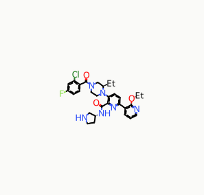 CCOc1ncccc1-c1ccc(N2CCN(C(=O)c3ccc(F)cc3Cl)C[C@H]2CC)c(C(=O)N[C@@H]2CCNC2)n1